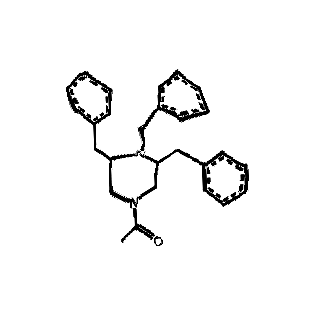 CC(=O)N1CC(Cc2ccccc2)N(Cc2ccccc2)C(Cc2ccccc2)C1